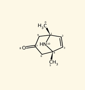 C[C@]12C=C[C@](C)(CC(=O)C1)N2